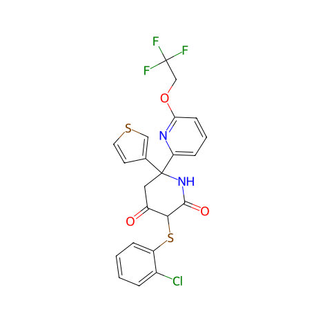 O=C1CC(c2ccsc2)(c2cccc(OCC(F)(F)F)n2)NC(=O)C1Sc1ccccc1Cl